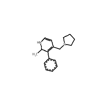 CC1NC=CC(CN2CCCC2)=C1c1ccccc1